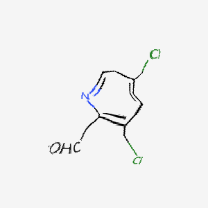 O=[C]c1ncc(Cl)cc1Cl